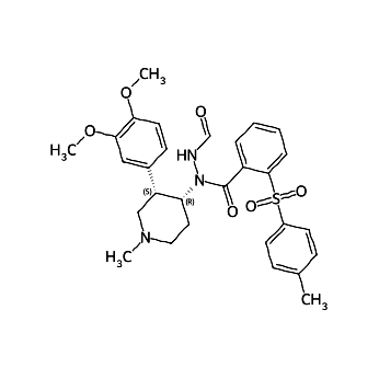 COc1ccc([C@H]2CN(C)CC[C@H]2N(NC=O)C(=O)c2ccccc2S(=O)(=O)c2ccc(C)cc2)cc1OC